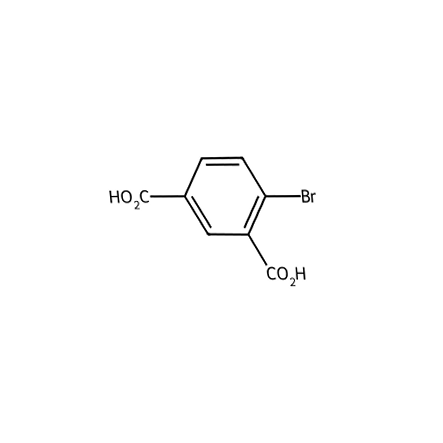 O=C(O)c1ccc(Br)c(C(=O)O)c1